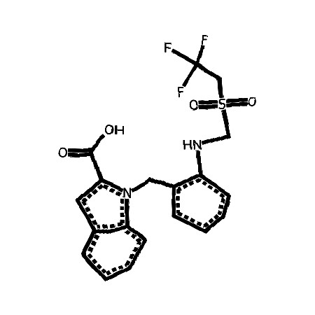 O=C(O)c1cc2ccccc2n1Cc1ccccc1NCS(=O)(=O)CC(F)(F)F